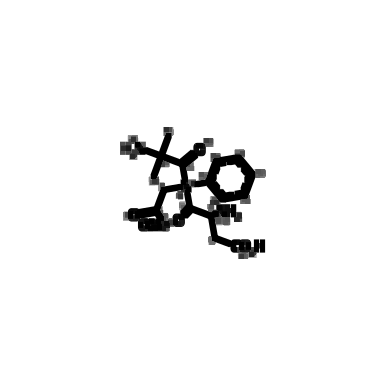 COC(=O)C[N+](C(=O)[C@@H](N)CC(=O)O)(C(=O)C(C)(C)N)c1ccccc1